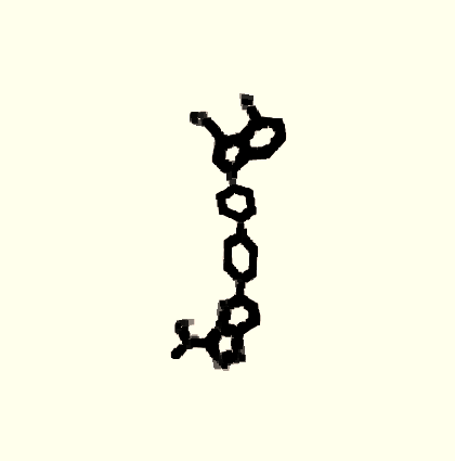 C[S+]([O-])c1nnc2ccc(N3CCN([C@H]4CC[C@@H](n5cc(Cl)c6c(F)cccc65)CC4)CC3)nn12